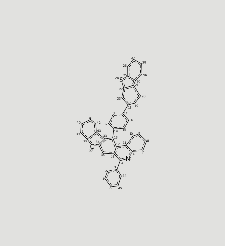 c1ccc(-c2nc3ccccc3c3c(-c4ccc(-c5ccc6c(c5)sc5ccccc56)cc4)c4c(cc23)oc2ccccc24)cc1